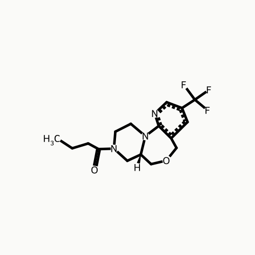 CCCC(=O)N1CCN2c3ncc(C(F)(F)F)cc3COC[C@@H]2C1